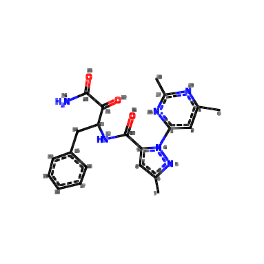 Cc1cc(-n2nc(C)cc2C(=O)NC(Cc2ccccc2)C(=O)C(N)=O)nc(C)n1